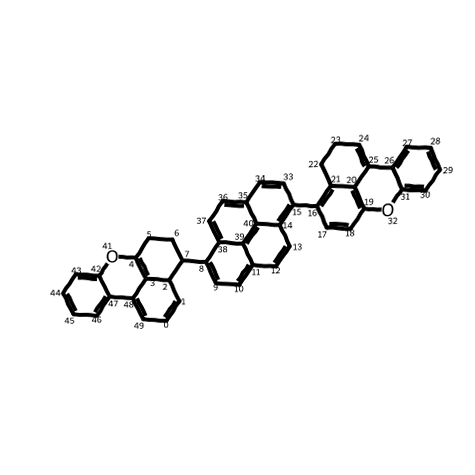 C1=CC2C3=C(CCC2c2ccc4ccc5c(-c6ccc7c8c6CCC=C8c6ccccc6O7)ccc6ccc2c4c65)Oc2ccccc2C3=C1